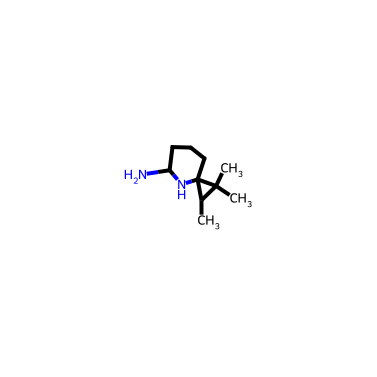 CC1C(C)(C)C12CCCC(N)N2